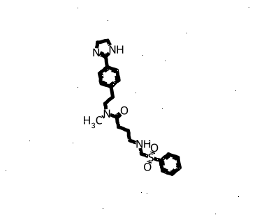 CN(CCc1ccc(C2=NCCN2)cc1)C(=O)CCCNCS(=O)(=O)c1ccccc1